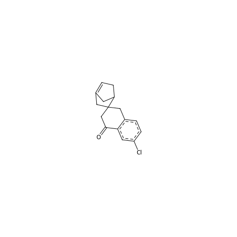 O=C1CC2(CC3=CCC2C3)Cc2ccc(Cl)cc21